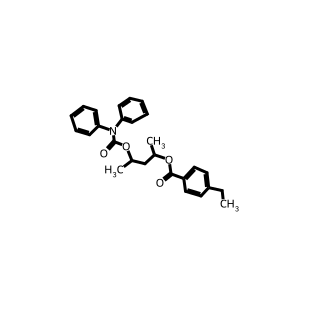 CCc1ccc(C(=O)OC(C)CC(C)OC(=O)N(c2ccccc2)c2ccccc2)cc1